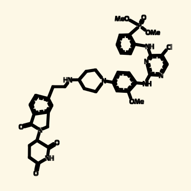 COc1cc(N2CCC(NCCc3ccc4c(c3)CN(C3CCC(=O)NC3=O)C4=O)CC2)ccc1Nc1ncc(Cl)c(Nc2ccccc2P(=O)(OC)OC)n1